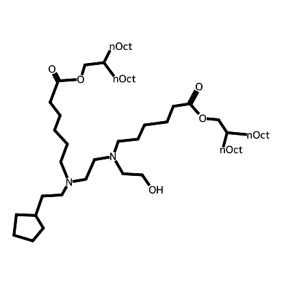 CCCCCCCCC(CCCCCCCC)COC(=O)CCCCCN(CCO)CCN(CCCCCC(=O)OCC(CCCCCCCC)CCCCCCCC)CCC1CCCC1